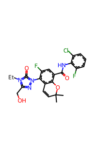 CCn1c(CO)nn(-c2c(F)cc(C(=O)Nc3c(F)cccc3Cl)c3c2C=CC(C)(C)O3)c1=O